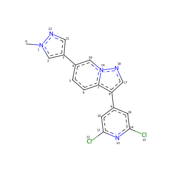 Cn1cc(-c2ccc3c(-c4cc(Cl)nc(Cl)c4)cnn3c2)cn1